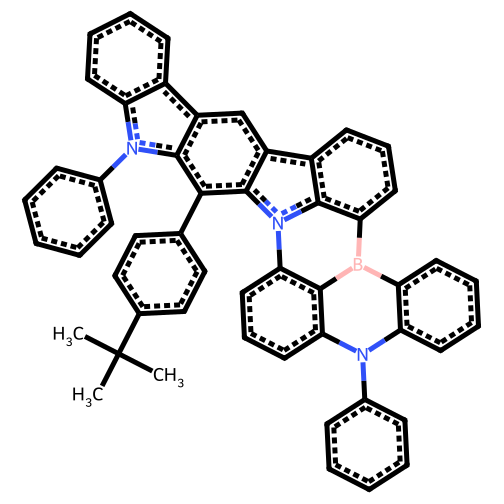 CC(C)(C)c1ccc(-c2c3c(cc4c5cccc6c5n(c24)-c2cccc4c2B6c2ccccc2N4c2ccccc2)c2ccccc2n3-c2ccccc2)cc1